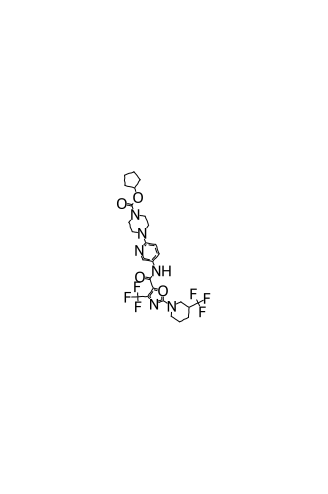 O=C(Nc1ccc(N2CCN(C(=O)OC3CCCC3)CC2)nc1)c1oc(N2CCCC(C(F)(F)F)C2)nc1C(F)(F)F